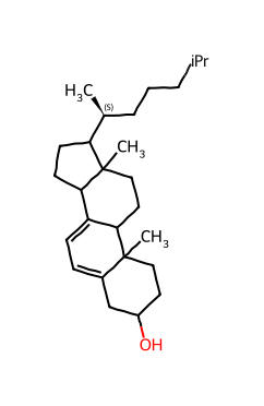 CC(C)CCC[C@H](C)C1CCC2C3=CC=C4CC(O)CCC4(C)C3CCC21C